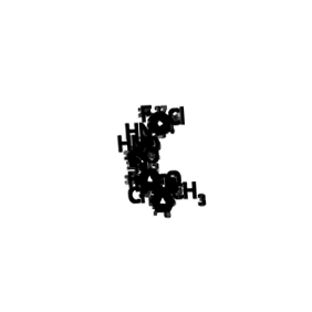 CP(C)(=O)c1ccccc1-c1ccc(N2CC[C@@H](NC(=O)Nc3ccc(Cl)cc3F)C2=O)c(F)c1Cl